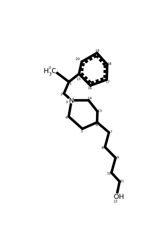 CC(CN1CCC(CCCCCO)CC1)c1ccccc1